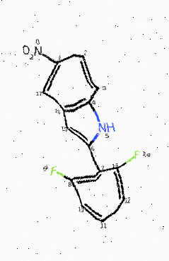 O=[N+]([O-])c1ccc2[nH]c(-c3c(F)cccc3F)cc2c1